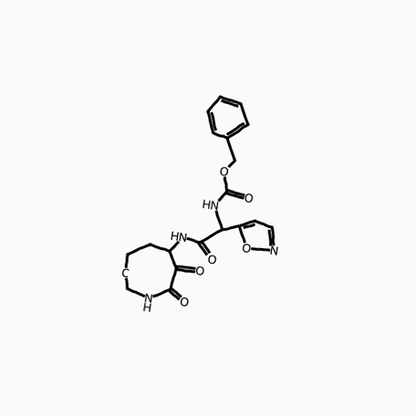 O=C(NC(C(=O)NC1CCCCNC(=O)C1=O)c1ccno1)OCc1ccccc1